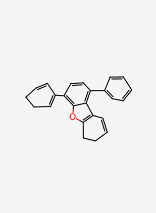 C1=CC(c2ccc(-c3ccccc3)c3c4c(oc23)CCC=C4)=CCC1